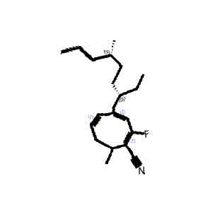 CCC[C@H](C)CC[C@H](CC)C1=C/C(F)=C(/C#N)C(C)C/C=C\1